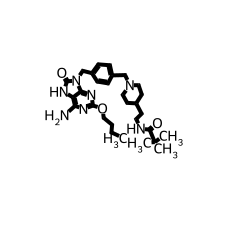 CCCCOc1nc(N)c2[nH]c(=O)n(Cc3ccc(CN4CCC(CCNC(=O)C(C)(C)C)CC4)cc3)c2n1